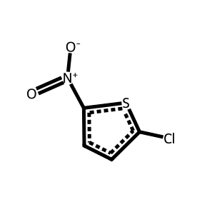 O=[N+]([O-])c1ccc(Cl)s1